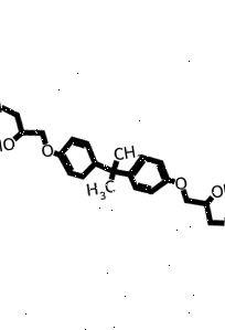 CC(C)(c1ccc(OCC(O)CI)cc1)C1C=CC(OCC(O)CI)=CC1